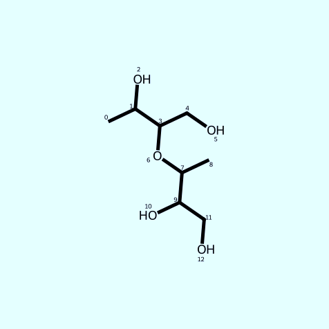 CC(O)C(CO)OC(C)C(O)CO